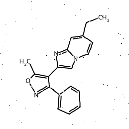 CCc1ccn2cc(-c3c(-c4ccccc4)noc3C)nc2c1